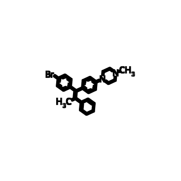 C/C(C1=CCCC=C1)=C(\c1ccc(Br)cc1)c1ccc(N2CCN(C)CC2)cc1